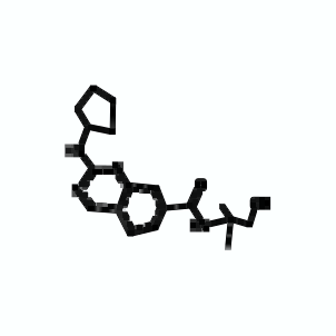 CC(C)(CO)NC(=O)c1ccc2cnc(NC3CCCC3)nc2c1